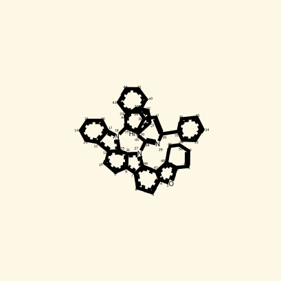 C1=Cc2oc3ccc4c5ccc6c7ccccc7n(-c7ccccc7)c6c5n(C5=NC(c6ccccc6)=CC(c6ccccc6)N5)c4c3c2CC1